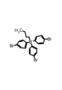 CCCC[B-](c1ccc(Br)cc1)(c1ccc(Br)cc1)c1ccc(Br)cc1